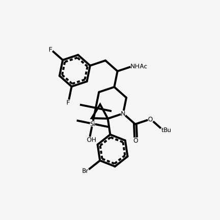 CC(=O)NC(Cc1cc(F)cc(F)c1)C(CN(C(=O)OC(C)(C)C)C1(c2cccc(Br)c2)CC1)CC(C)(C)[Si](C)(C)O